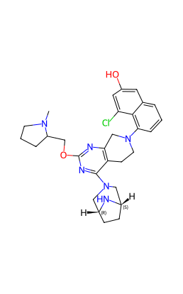 CN1CCCC1COc1nc2c(c(N3C[C@H]4CC[C@@H](C3)N4)n1)CCN(c1cccc3cc(O)cc(Cl)c13)C2